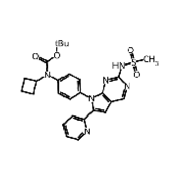 CC(C)(C)OC(=O)N(c1ccc(-n2c(-c3ccccn3)cc3cnc(NS(C)(=O)=O)nc32)cc1)C1CCC1